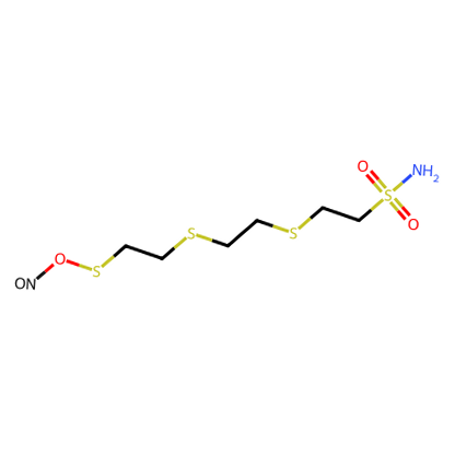 NS(=O)(=O)CCSCCSCCSON=O